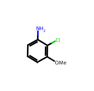 COc1[c]ccc(N)c1Cl